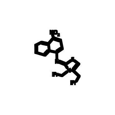 CC(C)Cc1csc(=Nc2ccc([N+](=O)[O-])c3ccccc23)n1CC(C)C